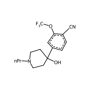 CCCN1CCC(O)(c2ccc(C#N)c(OC(F)(F)F)c2)CC1